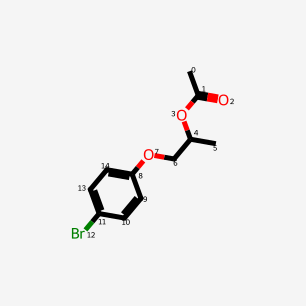 CC(=O)OC(C)COc1ccc(Br)cc1